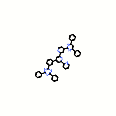 c1ccc(-c2cc(-c3ccccc3)nc(-c3ccnc(-c4cc(-c5cccc(-c6nc(-c7ccccc7)nc(-c7ccccc7)n6)c5)cc(-c5ccccn5)n4)c3)n2)cc1